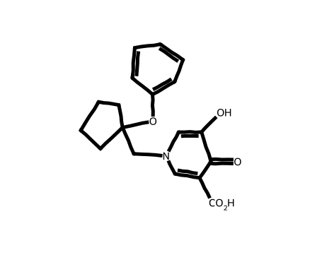 O=C(O)c1cn(CC2(Oc3ccccc3)CCCC2)cc(O)c1=O